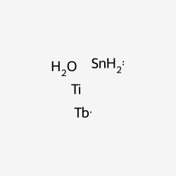 O.[SnH2].[Tb].[Ti]